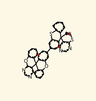 c1ccc2c(c1)Oc1cc(-c3ccc4c(c3)Sc3ccccc3C43c4ccccc4Sc4ncncc43)ccc1C21c2ccccc2Oc2ncncc21